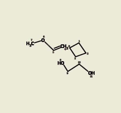 C1CCC1.C=COC.OCCO